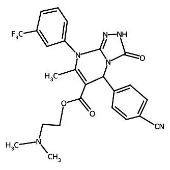 CC1=C(C(=O)OCCN(C)C)C(c2ccc(C#N)cc2)n2c(n[nH]c2=O)N1c1cccc(C(F)(F)F)c1